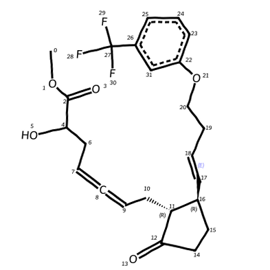 COC(=O)C(O)CC=C=CC[C@H]1C(=O)CC[C@@H]1/C=C/CCOc1cccc(C(F)(F)F)c1